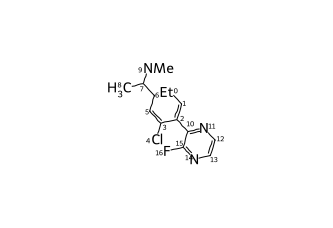 CC/C=C(\C(Cl)=C/CC(C)NC)c1nccnc1F